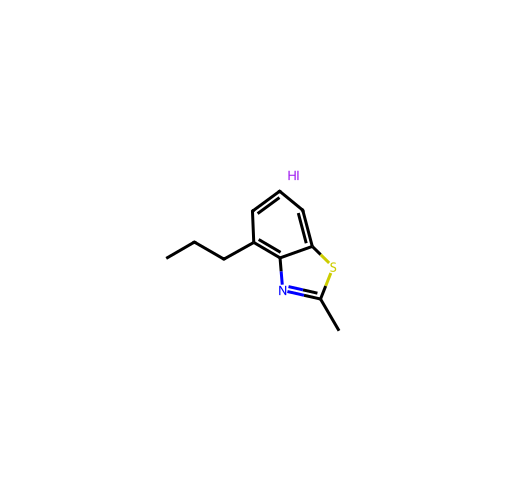 CCCc1cccc2sc(C)nc12.I